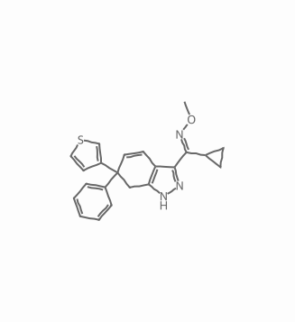 CON=C(c1n[nH]c2c1C=CC(c1ccccc1)(c1ccsc1)C2)C1CC1